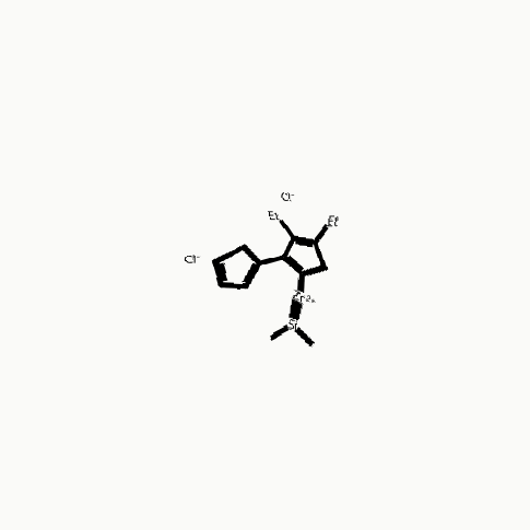 CCC1=C(CC)C(C2=CC=CC2)=[C]([Zr+2]=[Si](C)C)C1.[Cl-].[Cl-]